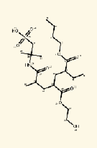 CCCCOC(=O)C(CC)CC(CC(C)C(=O)NC(C)(C)CS(=O)(=O)O)C(=O)OCCO